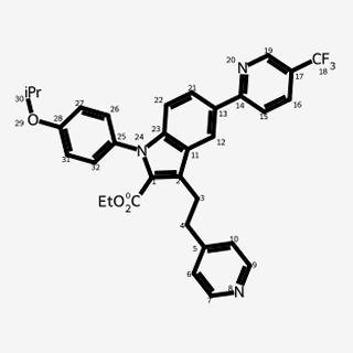 CCOC(=O)c1c(CCc2ccncc2)c2cc(-c3ccc(C(F)(F)F)cn3)ccc2n1-c1ccc(OC(C)C)cc1